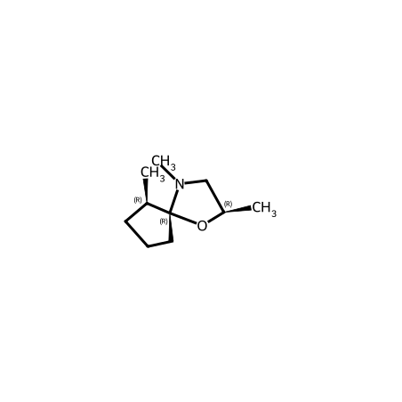 C[C@@H]1CN(C)[C@]2(CCC[C@H]2C)O1